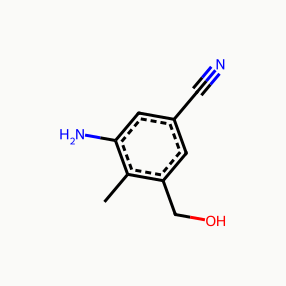 Cc1c(N)cc(C#N)cc1CO